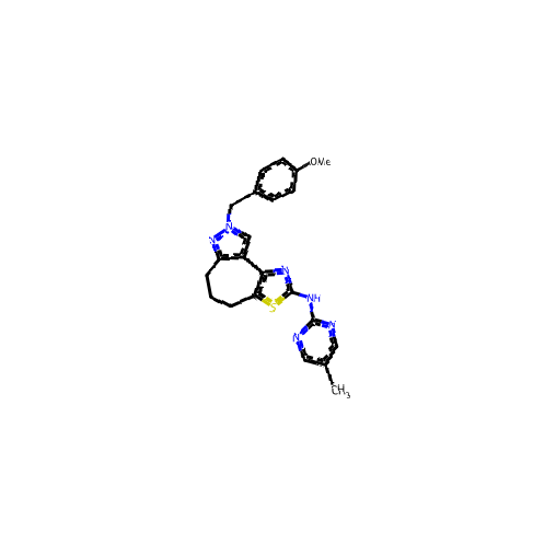 COc1ccc(Cn2cc3c(n2)CCCc2sc(Nc4ncc(C)cn4)nc2-3)cc1